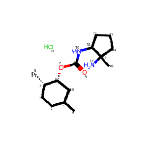 CC1CC[C@H](C(C)C)[C@H](OC(=O)NC2CCCC2(C)N)C1.Cl